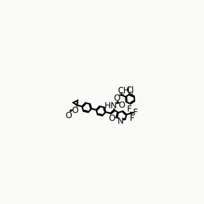 C[C@@H](OC(=O)Nc1c(-c2ccc(-c3ccc(C4(OC=O)CC4)cc3)cc2)oc2ncc(C(F)(F)F)cc12)c1ccccc1Cl